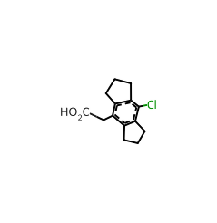 O=C(O)Cc1c2c(c(Cl)c3c1CCC3)CCC2